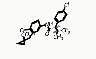 C[C@H]([C@H](C(=O)Nc1ccc(Cl)c(CC2(C(=O)O)CC2)c1)c1ccc(Cl)cc1)C(F)(F)F